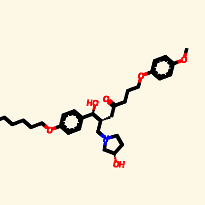 CCCCCCOc1ccc([C@@H](O)[C@H](CC(=O)CCCOc2ccc(OC)cc2)CN2CC[C@H](O)C2)cc1